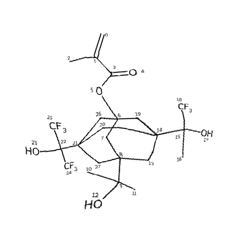 C=C(C)C(=O)OC12CC3(C(C)(C)O)CC(C(C)(O)C(F)(F)F)(C1)CC(C(O)(C(F)(F)F)C(F)(F)F)(C2)C3